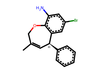 CC1=C[C@H](c2ccccc2)c2cc(Br)cc(N)c2OC1